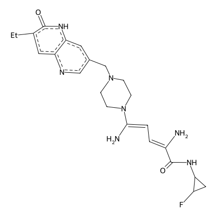 CCc1cc2ncc(CN3CCN(/C(N)=C/C=C(\N)C(=O)NC4CC4F)CC3)cc2[nH]c1=O